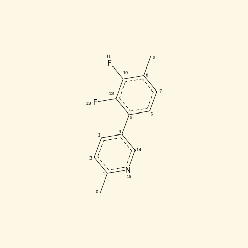 Cc1ccc(-c2ccc(C)c(F)c2F)cn1